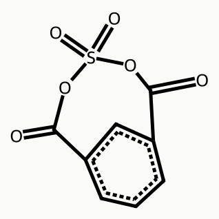 O=C1OS(=O)(=O)OC(=O)c2cccc1c2